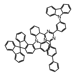 C1=CCC(c2nc(-c3ccc(-c4ccccc4)cc3)nc(-c3cccc(-n4c5ccccc5c5ccccc54)c3)n2)C(n2c3ccccc3c3ccc4c(c32)-c2ccccc2C42c3ccccc3-c3ccccc32)=C1